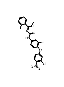 CO/C(=N\C(=O)Nc1ccc(Oc2ccc([N+](=O)[O-])c(Cl)c2)c(Cl)c1)c1ccccc1C